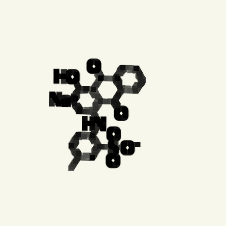 Cc1ccc(Nc2ccc(O)c3c2C(=O)c2ccccc2C3=O)c(S(=O)(=O)[O-])c1.[Na+]